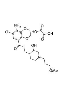 COCCCN1CCC(COC(=O)c2cc(Cl)c(N)c3c2OCCO3)C(O)C1.O=C(O)C(=O)O